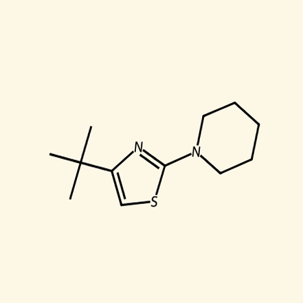 CC(C)(C)c1csc(N2CCCCC2)n1